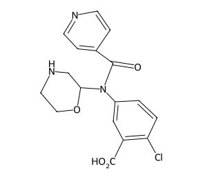 O=C(O)c1cc(N(C(=O)c2ccncc2)C2CNCCO2)ccc1Cl